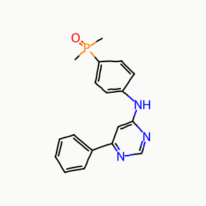 CP(C)(=O)c1ccc(Nc2cc(-c3ccccc3)ncn2)cc1